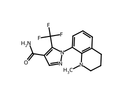 CN1CCCc2cccc(-n3ncc(C(N)=O)c3C(F)(F)F)c21